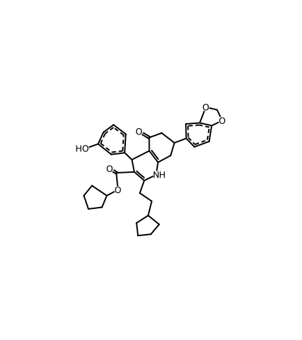 O=C1CC(c2ccc3c(c2)OCO3)CC2=C1C(c1cccc(O)c1)C(C(=O)OC1CCCC1)=C(CCC1CCCC1)N2